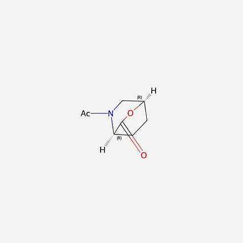 CC(=O)N1C[C@H]2CC[C@@H]1C(=O)O2